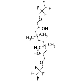 C[N+](C)(CC[N+](C)(C)CC(O)COCC(F)(F)C(F)F)CC(O)COCC(F)(F)C(F)F